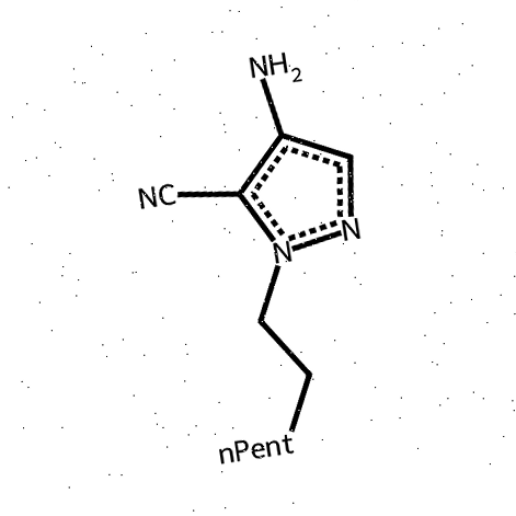 CCCCCCCn1ncc(N)c1C#N